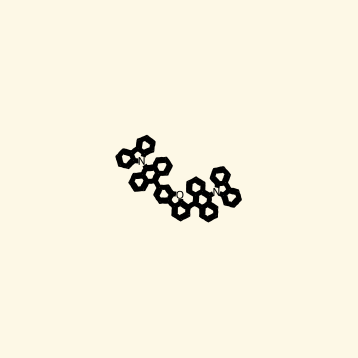 c1ccc2c(-n3c4ccccc4c4ccccc43)c3ccccc3c(-c3ccc4c(c3)oc3c(-c5c6ccccc6c(-n6c7ccccc7c7ccccc76)c6ccccc56)cccc34)c2c1